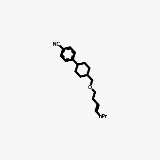 CCC/C=C/CCOCC1CCC(c2ccc(C#N)cc2)CC1